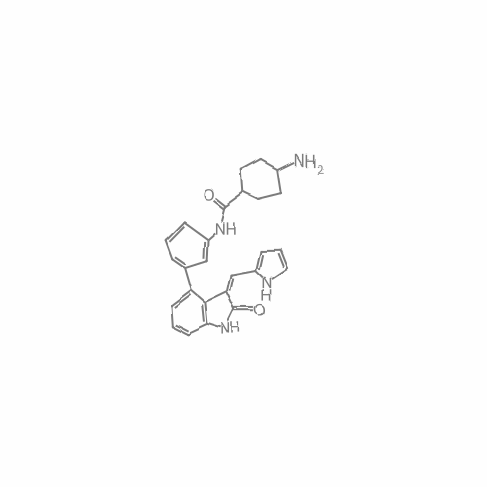 NC1CCC(C(=O)Nc2cccc(-c3cccc4c3C(=Cc3ccc[nH]3)C(=O)N4)c2)CC1